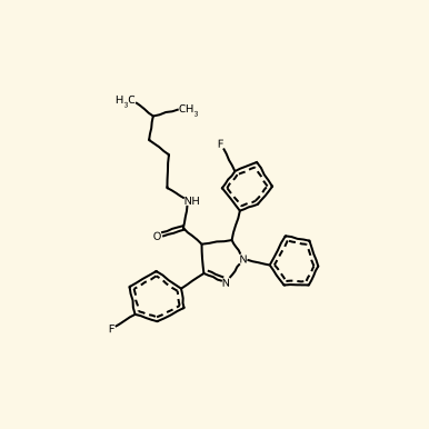 CC(C)CCCNC(=O)C1C(c2ccc(F)cc2)=NN(c2ccccc2)C1c1cccc(F)c1